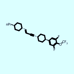 CCC[C@H]1CC[C@H](/C=C/C#C[C@H]2CC[C@H](c3cc(F)c(OC(F)(F)F)c(F)c3)CC2)CC1